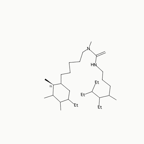 C=C(NCCCC(C)C(CC)C(CC)CC)N(C)CCCCCC1CC(CC)C(C)C(C)[C@H]1C